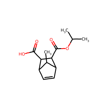 CC(C)OC(=O)C1C2C=CC(C2C)C1C(=O)O